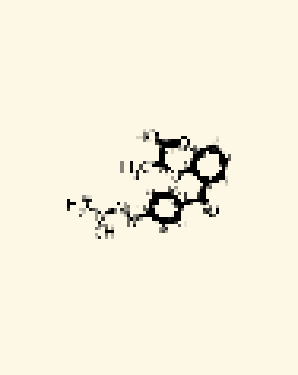 CC(Oc1ccccc1C(=O)c1ccc(N=NN(C)C)cc1)C(=O)O